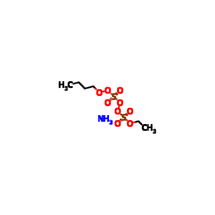 CCCCOOS(=O)(=O)OOS(=O)(=O)OCC.N